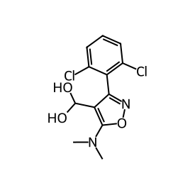 CN(C)c1onc(-c2c(Cl)cccc2Cl)c1C(O)O